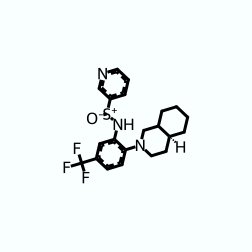 [O-][S+](Nc1cc(C(F)(F)F)ccc1N1CC[C@@H]2CCCCC2C1)c1cccnc1